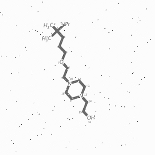 CC(C)C(C)(C)CCCOCCN1CCN(CCO)CC1